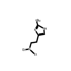 CCCCc1nc(CCN(CC)CC)c[nH]1